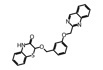 O=C1Nc2ccccc2SC1OCc1cccc(OCc2ncc3ccccc3n2)c1